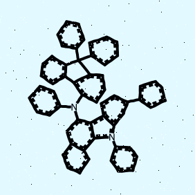 c1ccc(-c2ccc3c4c(N(c5ccccc5)c5cccc6c5-c5ccccc5C6(c5ccccc5)c5ccccc5)cc5ccccc5c4n(-c4ccccc4)c3c2)cc1